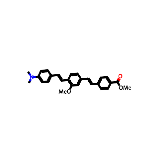 COC(=O)c1ccc(/C=C/c2ccc(/C=C/c3ccc(N(C)C)cc3)c(OC)c2)cc1